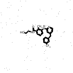 Cc1c(Nc2cc(Cc3cccc(C(F)(F)F)c3)ccn2)cccc1C(=O)NCCO